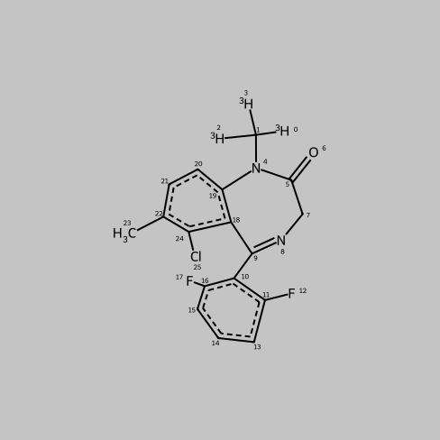 [3H]C([3H])([3H])N1C(=O)CN=C(c2c(F)cccc2F)c2c1ccc(C)c2Cl